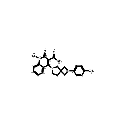 Cc1ccc(N2CC3(CCN(c4c(C(N)=O)c(=O)n(C)c5ccccc45)C3)C2)cc1